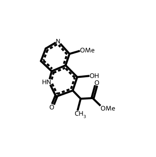 COC(=O)C(C)c1c(O)c2c(OC)nccc2[nH]c1=O